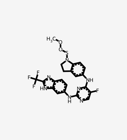 COOSN1CCc2cc(Nc3nc(Nc4ccc5nc(C(F)(F)F)[nH]c5c4)ncc3F)ccc21